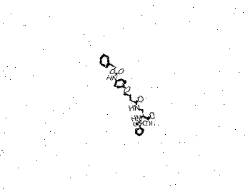 O=C(CCCOc1ccc(NC(=O)OCc2ccccc2)cc1)NC[C@H](NS(=O)(=O)c1ccccc1)C(=O)O